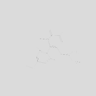 CCOc1cc(F)c(-c2c(CN(C)OC)cc(Cl)c(=O)n2CC)c(F)c1